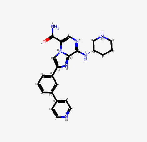 NC(=O)c1cnc(N[C@H]2CCCNC2)c2nc(-c3cccc(-c4ccncc4)c3)cn12